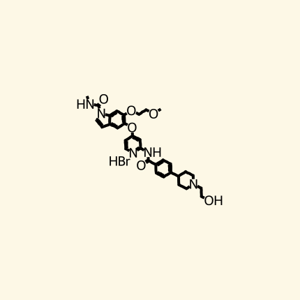 Br.CNC(=O)n1ccc2cc(Oc3ccnc(NC(=O)c4ccc(C5CCN(CCO)CC5)cc4)c3)c(OCCOC)cc21